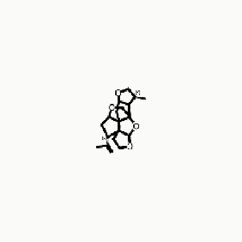 C=C(C)[C@@H]1CC2OCC34OC5OCCC51C23CC1OC[C@@H](C)C14